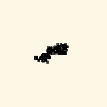 CC(C)(C)ONC(=O)c1cccc(-c2ccc3[nH]c(CN4CCC[C@@H]4CO)cc3c2)n1